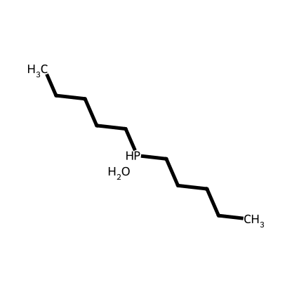 CCCCCPCCCCC.O